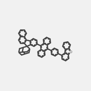 c1ccc2c3c(ccc2c1)C1(c2cc(-c4c5ccccc5c(-c5ccc(-c6cccc7oc8ccccc8c67)cc5)c5ccccc45)ccc2-3)C2CC3CC(C2)CC1C3